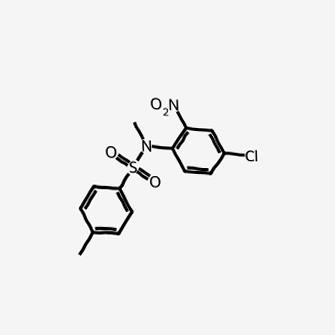 Cc1ccc(S(=O)(=O)N(C)c2ccc(Cl)cc2[N+](=O)[O-])cc1